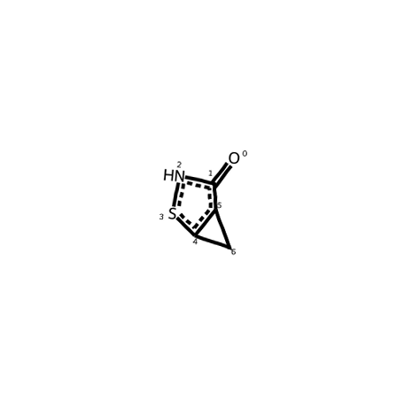 O=c1[nH]sc2c1C2